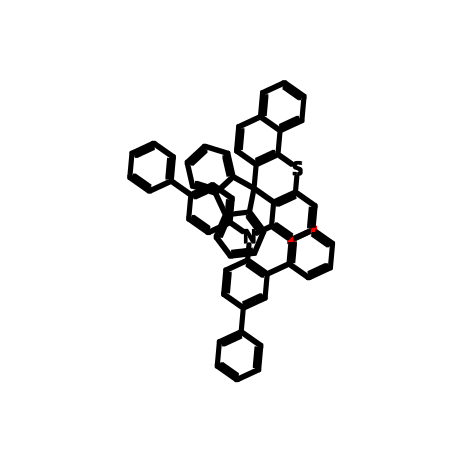 c1ccc(-c2ccc(N(c3ccc(-c4ccccc4)cc3-c3ccccc3)c3cccc4c3C3(c5ccccc5-c5ccccc53)c3ccc5ccccc5c3S4)cc2)cc1